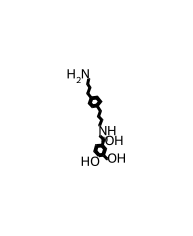 NCCCCc1ccc(CCCCNC[C@H](O)c2ccc(O)c(CO)c2)cc1